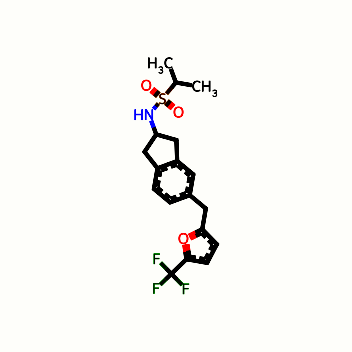 CC(C)S(=O)(=O)NC1Cc2ccc(Cc3ccc(C(F)(F)F)o3)cc2C1